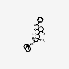 CC(C)(CC(=O)OCC12CC3CC(CC(C3)C1)C2)C/C(O)=C1\C(=O)CCN(C(=O)c2ccccc2)C1=O